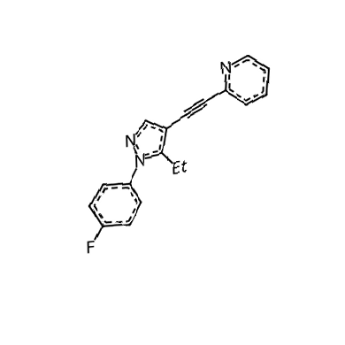 CCc1c(C#Cc2ccccn2)cnn1-c1ccc(F)cc1